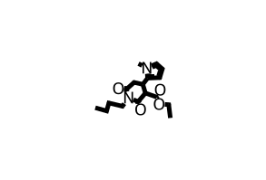 CCCCN1C(=O)CC(c2cccn2C)C(C(=O)OCC)C1=O